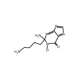 NCCCCC1(N)N=C2N=CN=C2C(=O)N1Cl